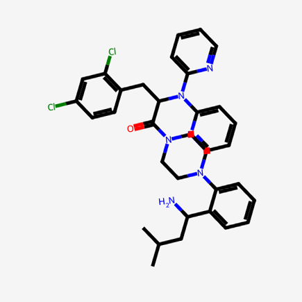 CC(C)CC(N)c1ccccc1N1CCN(C(=O)C(Cc2ccc(Cl)cc2Cl)N(c2ccccn2)c2ccccn2)CC1